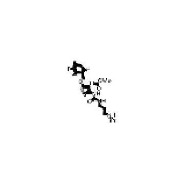 COC(=O)Oc1c(OCc2c(F)cc(C)c(F)c2F)nsc1NC(=O)NCCCNC(C)C